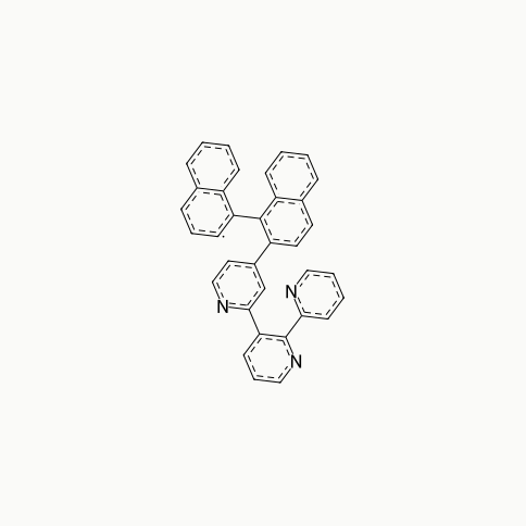 [c]1ccc2ccccc2c1-c1c(-c2ccnc(-c3cccnc3-c3ccccn3)c2)ccc2ccccc12